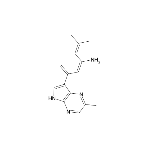 C=C(/C=C(/N)C=C(C)C)c1c[nH]c2ncc(C)nc12